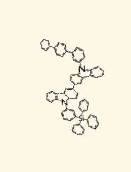 C1=CC2C(C=C1c1ccc3c(c1)c1ccccc1n3-c1cccc(-c3ccc(-c4ccccc4)cc3)c1)c1ccccc1N2c1cccc([Si](c2ccccc2)(c2ccccc2)c2ccccc2)c1